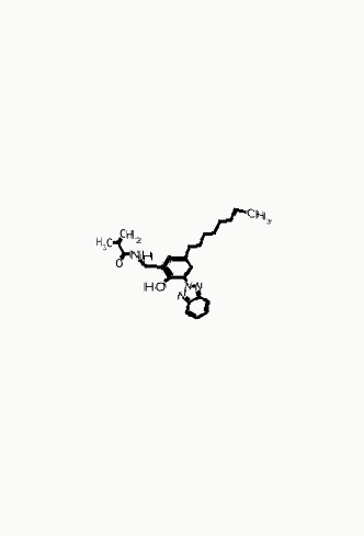 C=C(C)C(=O)NCc1cc(CCCCCCCC)cc(-n2nc3ccccc3n2)c1O